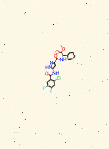 COC(=O)[C@@H](NC(=O)c1cc(NC(=O)c2cc(F)c(F)cc2Cl)[nH]n1)c1ccccc1